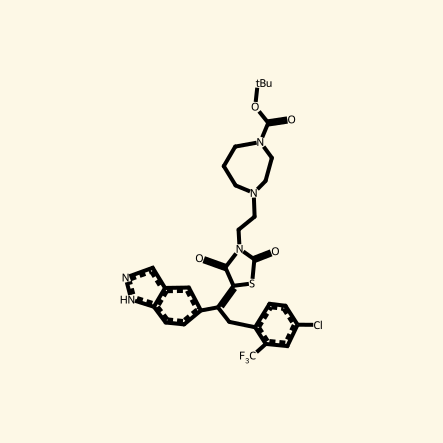 CC(C)(C)OC(=O)N1CCCN(CCN2C(=O)SC(=C(Cc3ccc(Cl)cc3C(F)(F)F)c3ccc4[nH]ncc4c3)C2=O)CC1